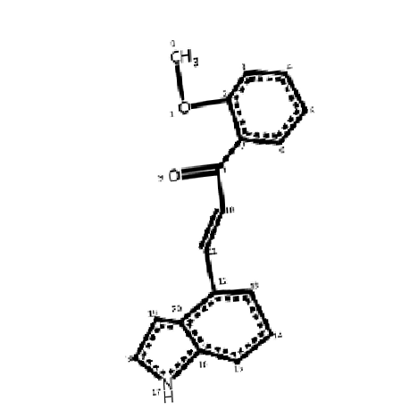 COc1ccccc1C(=O)C=Cc1cccc2[nH]ccc12